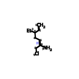 C=CC(CC)C/C=C(/N)CCl